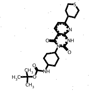 CC(C)(C)OC(=O)NC1CCC(n2c(=O)[nH]c3nc(C4CCSCC4)ccc3c2=O)CC1